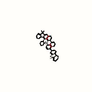 CC1(C)c2ccccc2-c2c(-c3ccccc3N(c3ccc(-c4ccc5c(c4)sc4ccccc45)cc3)c3ccccc3-c3ccccc3)cccc21